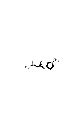 CNCC(=O)NC1CCN(C)C1